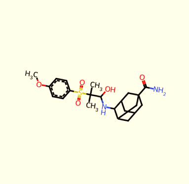 COc1ccc(S(=O)(=O)C(C)(C)C(O)NC2C3CC4CC2CC(C(N)=O)(C4)C3)cc1